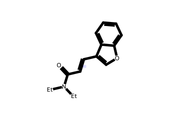 CCN(CC)C(=O)/C=C/c1coc2ccccc12